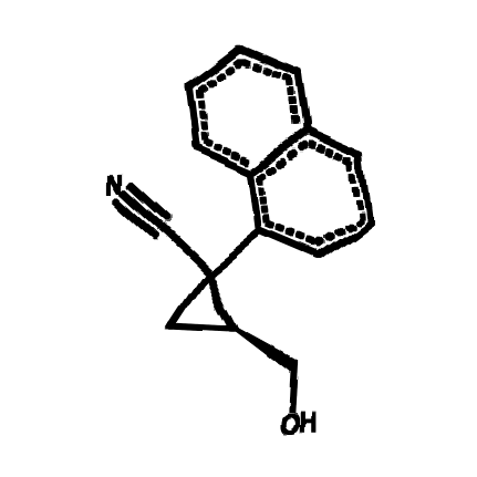 N#CC1(c2cccc3ccccc23)C[C@@H]1CO